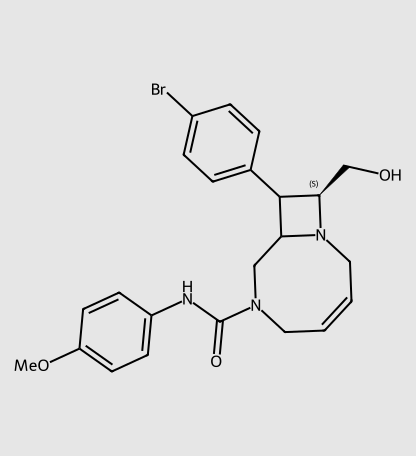 COc1ccc(NC(=O)N2CC=CCN3C(C2)C(c2ccc(Br)cc2)[C@H]3CO)cc1